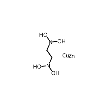 ON(O)CCN(O)O.[Cu].[Zn]